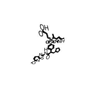 COc1ccc2nc(NC(=O)C(CC3CCCC3)c3ccc(S(=O)(=O)N(CCC(=O)O)C(C)c4cc(C)[nH]n4)cc3)sc2n1